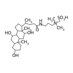 CC(CCC(=O)NCCC[N+](C)(C)CS(=O)(=O)O)C1CCC2C3C(O)CC4CC(O)CCC4(C)C3CC(O)C12C